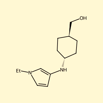 CCn1ccc(N[C@H]2CC[C@H](CO)CC2)c1